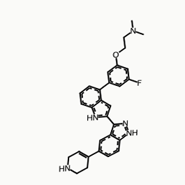 CN(C)CCOc1cc(F)cc(-c2cccc3[nH]c(-c4n[nH]c5ccc(C6=CCNCC6)cc45)cc23)c1